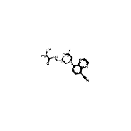 C[C@@H]1CN(c2ccc(C#N)c3nccnc23)C[C@H](CNC(=O)[C@@H](C)O)O1